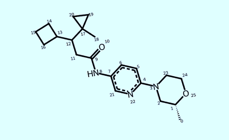 C[C@@H]1CN(c2ccc(NC(=O)CC(C3CCC3)C3(C)CC3)cn2)CCO1